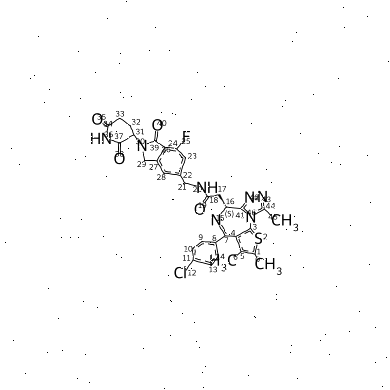 Cc1sc2c(c1C)C(c1ccc(Cl)cc1)=N[C@@H](CC(=O)NCc1cc(F)c3c(c1)CN(C1CCC(=O)NC1=O)C3=O)c1nnc(C)n1-2